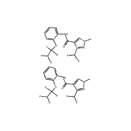 Cn1cc(C(=O)Nc2ccccc2OC(F)(F)C(F)Cl)c(C(F)F)n1.Cn1cc(C(=O)Nc2ccccc2OC(F)(F)C(F)F)c(C(F)F)n1